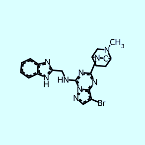 CN1CC2CCC1CN2c1nc(NCc2nc3ccccc3[nH]2)n2ncc(Br)c2n1